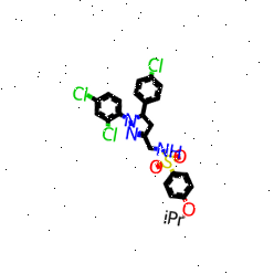 CC(C)Oc1ccc(S(=O)(=O)NCC2=NN(c3ccc(Cl)cc3Cl)C(c3ccc(Cl)cc3)C2)cc1